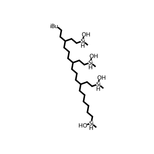 CCC(C)CCC(CCCC(CCCC(CCCCCC[SiH](C)O)CC[SiH](C)O)CC[SiH](C)O)CC[SiH](C)O